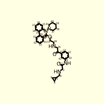 O=C(CNCC1CC1)Nc1cccc(C(=O)CNCCOC(=O)N(c2ccccc2-c2ccccc2)N2CC[CH]CC2)c1